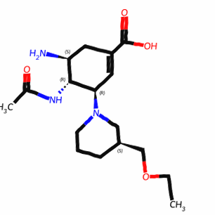 CCOC[C@H]1CCCN([C@@H]2C=C(C(=O)O)C[C@H](N)[C@H]2NC(C)=O)C1